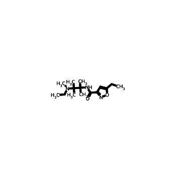 CCc1cc(C(=O)NC(C)(C)C(C)(C)N(C)CC)no1